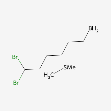 BCCCCCC(Br)Br.CSC